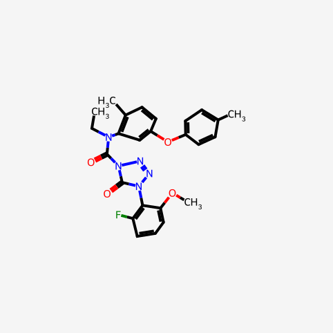 CCN(C(=O)n1nnn(-c2c(F)cccc2OC)c1=O)c1cc(Oc2ccc(C)cc2)ccc1C